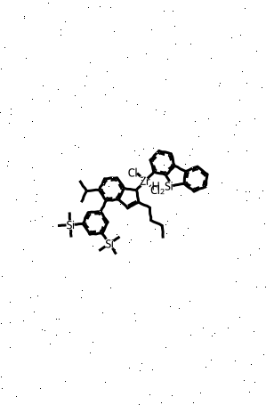 CCCCC1=Cc2c(ccc(C(C)C)c2-c2cc([Si](C)(C)C)cc([Si](C)(C)C)c2)[CH]1[Zr]([Cl])([Cl])[c]1cccc2c1[SiH2]c1ccccc1-2